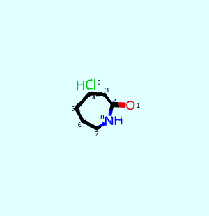 Cl.O=C1CCCCCN1